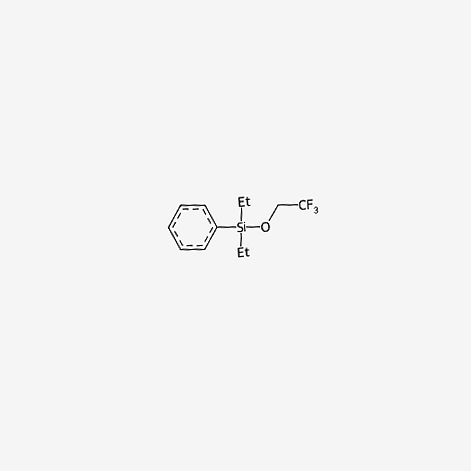 CC[Si](CC)(OCC(F)(F)F)c1ccccc1